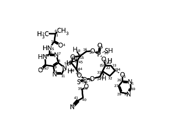 CC(C)C(=O)Nc1nc2c(ncn2[C@@H]2O[C@@H]3CO[P@](=O)(S)O[C@H]4C[C@H](Oc5ccncn5)C[C@@H]4CO[P@@](=S)(OCCC#N)O[C@@H]2[C@@H]3F)c(=O)[nH]1